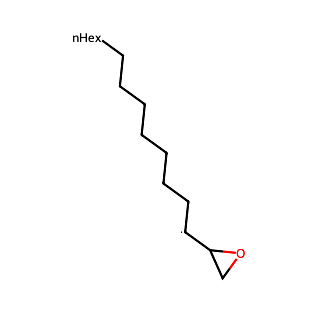 CCCCCCCCCCCCC[CH]C1CO1